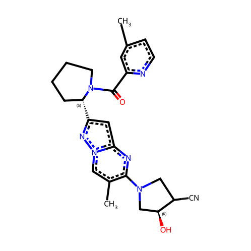 Cc1ccnc(C(=O)N2CCCC[C@H]2c2cc3nc(N4CC(C#N)[C@@H](O)C4)c(C)cn3n2)c1